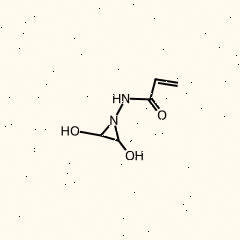 C=CC(=O)NN1C(O)C1O